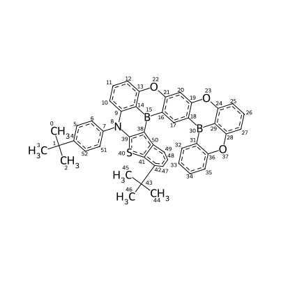 CC(C)(C)c1ccc(N2c3cccc4c3B(c3cc5c(cc3O4)Oc3cccc4c3B5c3ccccc3O4)c3c2sc2c(C(C)(C)C)cccc32)cc1